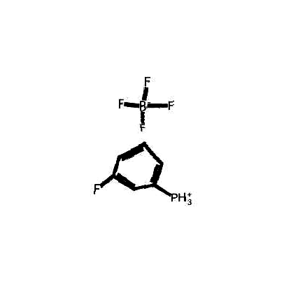 F[B-](F)(F)F.Fc1cccc([PH3+])c1